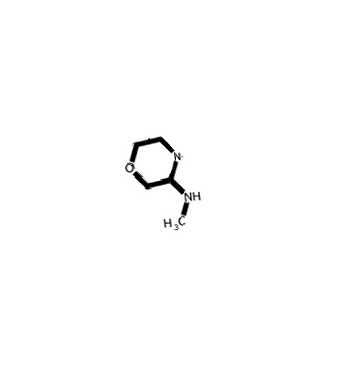 CNC1COCC[N]1